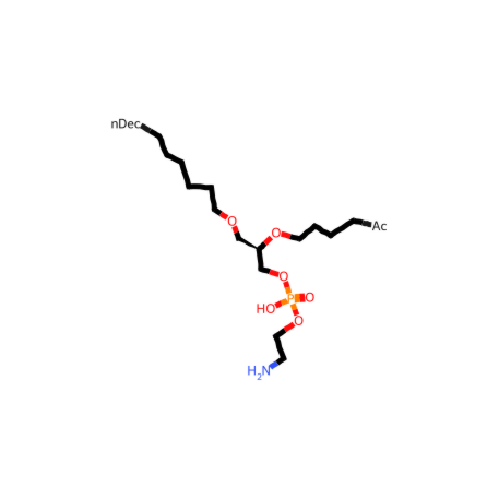 CCCCCCCCCCCCCCCCOC[C@H](COP(=O)(O)OCCN)OCCCCC(C)=O